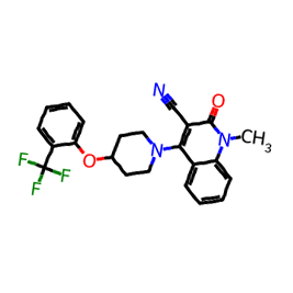 Cn1c(=O)c(C#N)c(N2CCC(Oc3ccccc3C(F)(F)F)CC2)c2ccccc21